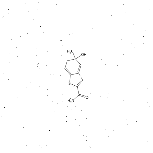 CC1(O)C=c2cc(C(N)=O)sc2=CC1